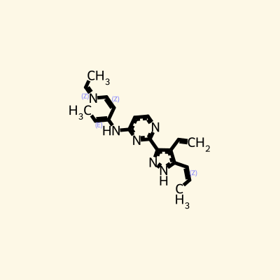 C=Cc1c(-c2nccc(NC(/C=C\N=C/C)=C/C)n2)n[nH]c1/C=C\C